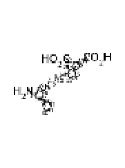 NCc1cc(OCCCCCCc2cccc(OCCCC(=O)O)c2CCC(=O)O)cc(-c2ccccc2)c1